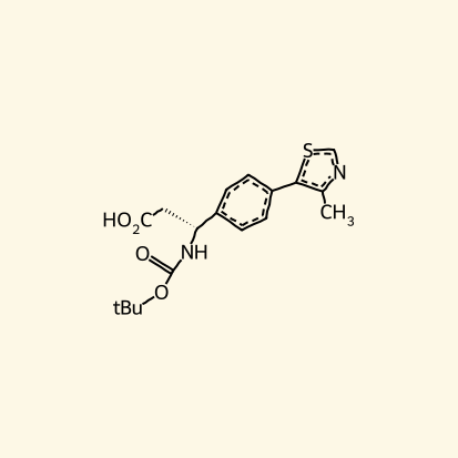 Cc1ncsc1-c1ccc([C@@H](CC(=O)O)NC(=O)OC(C)(C)C)cc1